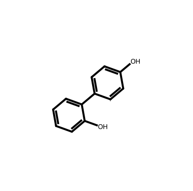 Oc1c[c]c(-c2ccccc2O)cc1